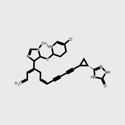 C=C/C=C(\C/C=C\C#CC#CC1C[C@@H]1c1n[nH]c(=O)[nH]1)C1N=CN(C)C1SC1CCC(Cl)=CN1